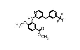 COC(=O)c1ccc(OC)c(Nc2cc(Cc3cccc(C(F)(F)F)c3)ccn2)c1